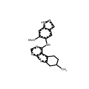 COc1cc2[nH]ncc2cc1Nc1ncnc2sc3c(c12)CCC(C)C3